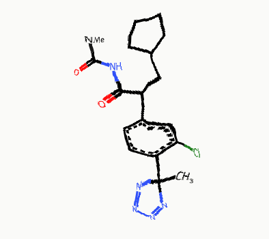 CNC(=O)NC(=O)C(CC1CCCC1)c1ccc(C2(C)N=NN=N2)c(Cl)c1